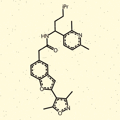 Cc1ccc(C(CCC(C)C)NC(=O)Cc2ccc3oc(-c4c(C)noc4C)cc3c2)c(C)n1